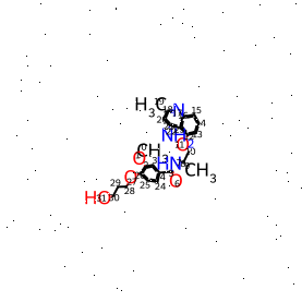 COc1cc(C(=O)N[C@@H](C)COc2cccc3nc(C)cc(N)c23)ccc1OCCCO